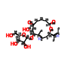 C/C=C(/C)[C@H]1C/C=C(\C)[C@@H](O[C@H]2O[C@H](CO)[C@@H](O)[C@@H]2O)[C@H](O)C(=O)CCCC(=O)O1